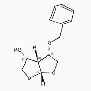 O[C@H]1CO[C@H]2OC[C@@H](OCc3ccccc3)[C@H]21